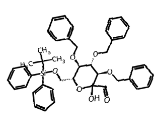 CC(C)(C)[Si](OC[C@H]1OC(O)(C=O)[C@H](OCc2ccccc2)[C@@H](OCc2ccccc2)[C@@H]1OCc1ccccc1)(c1ccccc1)c1ccccc1